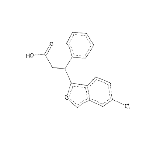 O=C(O)CC(c1ccccc1)c1occ2cc(Cl)ccc12